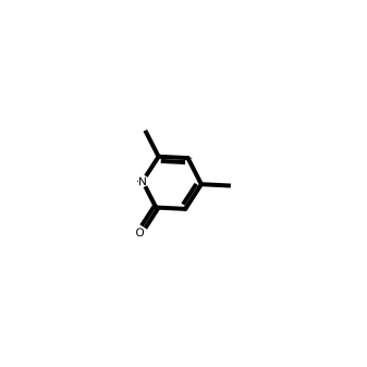 CC1=[C]C(C)=CC(=O)[N]1